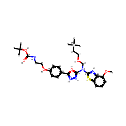 COc1cccc2sc(N(COCC[Si](C)(C)C)c3nnc(-c4ccc(OCCNC(=O)OC(C)(C)C)cc4)o3)nc12